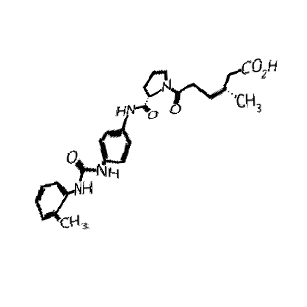 Cc1ccccc1NC(=O)Nc1ccc(NC(=O)[C@@H]2CCCN2C(=O)CC[C@@H](C)CC(=O)O)cc1